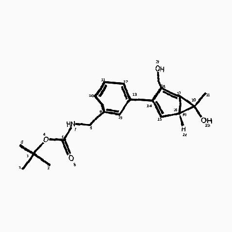 CC(C)(C)OC(=O)NCc1cccc(C2=C[C@@H]3C(=C2O)C3(C)O)c1